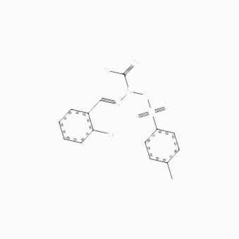 Cc1ccc(S(=O)(=O)ON(N=Cc2ccccc2Br)C(=N)N)cc1